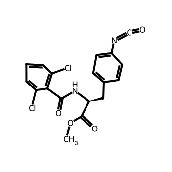 COC(=O)[C@H](Cc1ccc(N=C=O)cc1)NC(=O)c1c(Cl)cccc1Cl